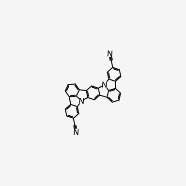 N#Cc1ccc2c3cccc4c5cc6c(cc5n(c2c1)c34)c1cccc2c3ccc(C#N)cc3n6c21